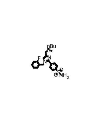 CCCCN(C)Cc1cn(Cc2ccccc2F)c(-c2ccc(S(N)(=O)=O)cc2)n1